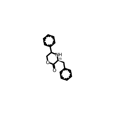 O=C1OCC(c2ccccc2)N[C@H]1Cc1ccccc1